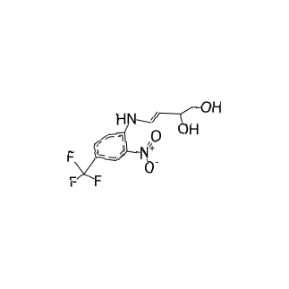 O=[N+]([O-])c1cc(C(F)(F)F)ccc1NC=CC(O)CO